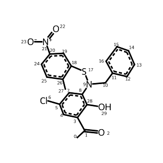 CC(=O)c1cc(Cl)cc(N(Cc2ccccc2)Sc2cc([N+](=O)[O-])ccc2C)c1O